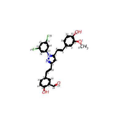 COc1cc(/C=C/c2cc(/C=C/c3ccc(O)c(C=O)c3)nn2-c2cc(F)cc(F)c2)ccc1O